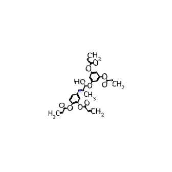 C=CC(=O)Oc1cc(OC(=O)C=C)cc(OC(O)/C(C)=C/c2ccc(OC(=O)C=C)c(OC(=O)C=C)c2)c1